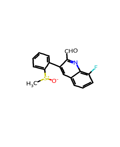 C[S+]([O-])c1ccccc1-c1cc2cccc(F)c2nc1C=O